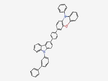 c1ccc(-c2cccc(-n3c4ccccc4c4cc(-c5ccc(-c6ccc7c(c6)Oc6ccccc6N7c6ccccc6)cc5)ccc43)c2)cc1